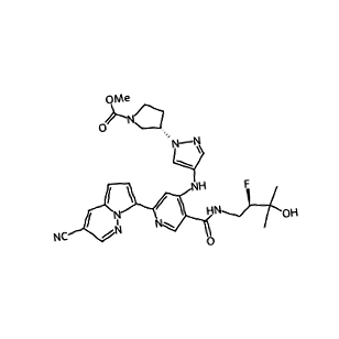 COC(=O)N1CC[C@H](n2cc(Nc3cc(-c4ccc5cc(C#N)cnn45)ncc3C(=O)NC[C@@H](F)C(C)(C)O)cn2)C1